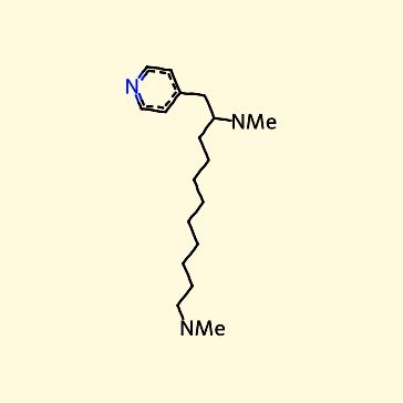 CNCCCCCCCCCC(Cc1ccncc1)NC